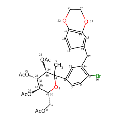 CC(=O)OC[C@H]1OC(C)(c2ccc(Br)c(Cc3ccc4c(c3)OCCO4)c2)[C@H](OC(C)=O)[C@@H](OC(C)=O)[C@@H]1OC(C)=O